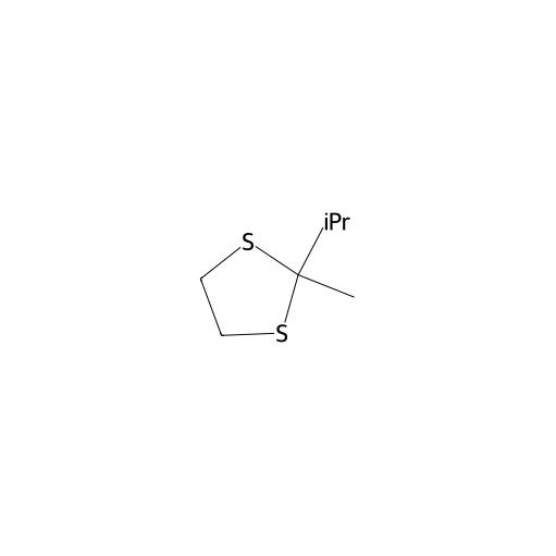 CC(C)C1(C)SCCS1